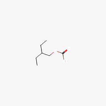 CCC(CC)COC(=O)S